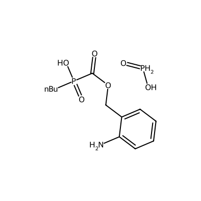 CCCCP(=O)(O)C(=O)OCc1ccccc1N.O=[PH2]O